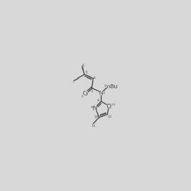 CCCCN(C(=O)C=C(C)C)c1nc(C)co1